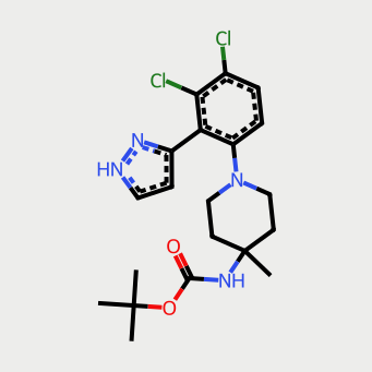 CC1(NC(=O)OC(C)(C)C)CCN(c2ccc(Cl)c(Cl)c2-c2cc[nH]n2)CC1